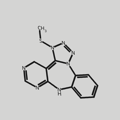 CSN1N=NN2C1=C1CN=CN=C1Nc1ccccc12